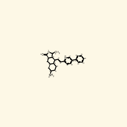 CC1OC(=O)C2CC3CC(N)CCC3C(C=Cc3ccc(-c4ccccc4)cn3)C12